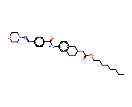 CCCCCCCCOC(=O)CC1CCc2cc(NC(=O)c3ccc(C=NN4CCOCC4)cc3)ccc2C1